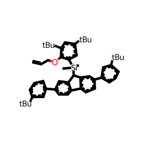 C=CCOc1c(C(C)(C)C)cc(C(C)(C)C)cc1[Si](C)(C)C1c2cc(-c3cccc(C(C)(C)C)c3)ccc2-c2ccc(-c3cccc(C(C)(C)C)c3)cc21